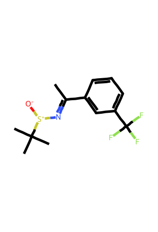 CC(=N[S+]([O-])C(C)(C)C)c1cccc(C(F)(F)F)c1